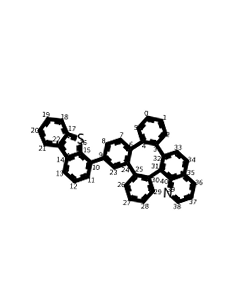 c1ccc2c(c1)-c1ccc(-c3cccc4c3sc3ccccc34)cc1-c1ccccc1-c1c-2ccc2cccnc12